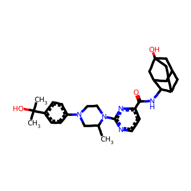 CC1CN(c2ccc(C(C)(C)O)cc2)CCN1c1nccc(C(=O)NC2C3CC4CC2CC(O)(C4)C3)n1